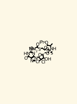 CC(C)OC(=O)C(C)NP(=S)(OCCSC(=O)C(C)(C)C)OC[C@H]1O[C@@H](n2cnc3c(=O)[nH]c(N)nc32)C(Cl)(Cl)[C@@H]1O